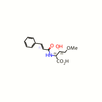 COC[C@@H](O)[C@H](NC(=O)/C=C/c1ccccc1)C(=O)O